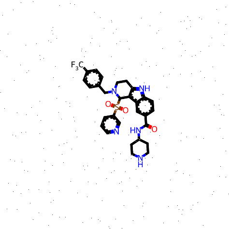 O=C(NC1CCNCC1)c1ccc2[nH]c3c(c2c1)C(S(=O)(=O)c1cccnc1)N(Cc1ccc(C(F)(F)F)cc1)CC3